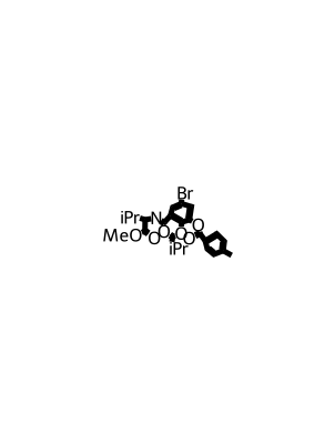 COC(=O)C(N=Cc1cc(Br)cc(OC(=O)c2ccc(C)cc2)c1OC(=O)C(C)C)C(C)C